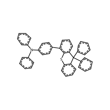 c1ccc(N(c2ccccc2)c2ccc(-c3cccc4c3Sc3ccccc3C4(c3ccccc3)c3ccccc3)cc2)cc1